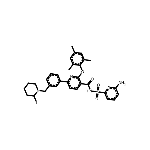 Cc1cc(C)c(Oc2nc(-c3cccc(CN4CCCCC4I)c3)ccc2C(=O)NS(=O)(=O)c2cccc(N)n2)c(C)c1